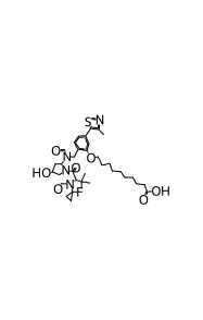 Cc1ncsc1-c1ccc(CN(C=O)[C@@H]2C[C@@H](O)CN2C(=O)[C@@H](N(C=O)C2(F)CC2)C(C)(C)C)c(OCCCCCCCCCC(=O)O)c1